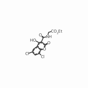 CCOC(=O)CNC(=O)c1c(O)c2cc(Cl)cc(Cl)c2oc1=O